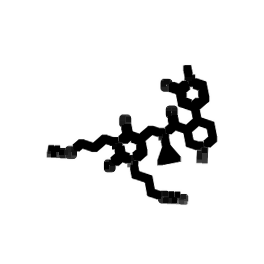 COCCCn1cc(CN(C(=O)C2CNCCC2c2ccn(C)c(=O)c2)C2CC2)c(=O)n(CCCOC)c1=O